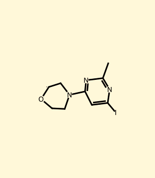 Cc1nc(I)cc(N2C[CH]OCC2)n1